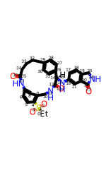 CCS(=O)(=O)c1ccc2cc1CNC(=O)[C@H](Nc1ccc3c(c1)C(=O)NC3)c1ccc(cc1)CCCC(=O)N2